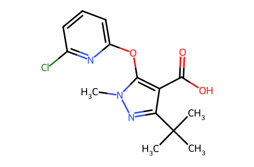 Cn1nc(C(C)(C)C)c(C(=O)O)c1Oc1cccc(Cl)n1